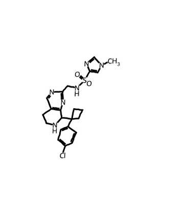 Cn1cnc(S(=O)(=O)NCc2ncc3c(n2)C(C2(c4ccc(Cl)cc4)CCC2)NCC3)c1